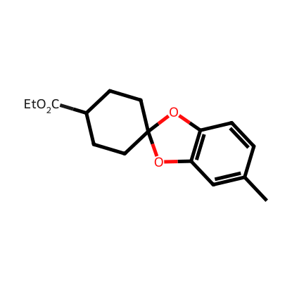 CCOC(=O)C1CCC2(CC1)Oc1ccc(C)cc1O2